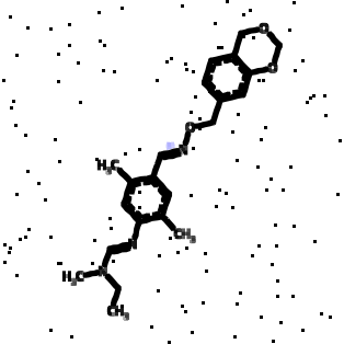 CCN(C)C=Nc1cc(C)c(/C=N/OCc2ccc3c(c2)OCOC3)cc1C